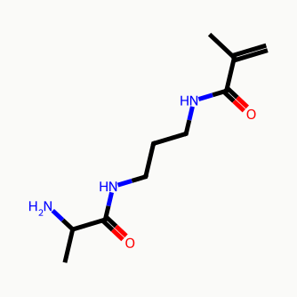 C=C(C)C(=O)NCCCNC(=O)C(C)N